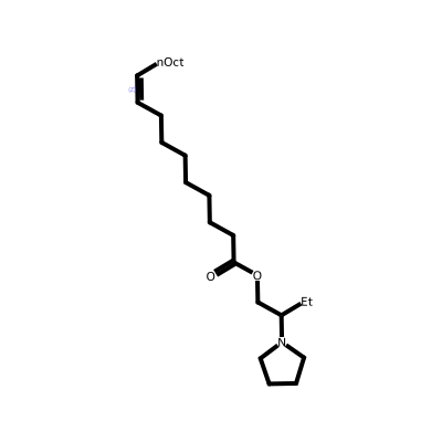 [CH2]CC(COC(=O)CCCCCCC/C=C\CCCCCCCC)N1CCCC1